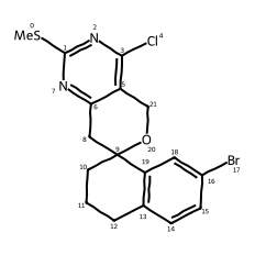 CSc1nc(Cl)c2c(n1)CC1(CCCc3ccc(Br)cc31)OC2